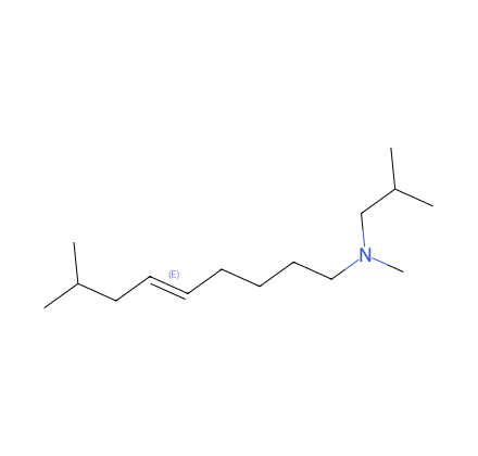 CC(C)C/C=C/CCCCN(C)CC(C)C